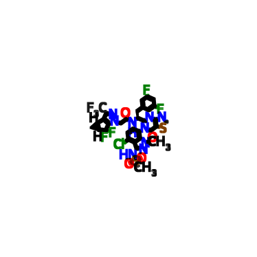 Cn1nc(NS(C)(=O)=O)c2c(Cl)ccc(-n3c([C@H](Cc4cc(F)cc(F)c4)NC(=O)Cn4nc(C(F)(F)F)c5c4C(F)(F)[C@@H]4C[C@H]54)nc4ncsc4c3=O)c21